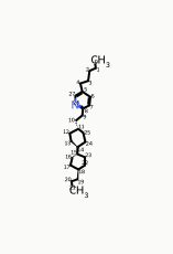 CCCCCc1ccc(CC[C@H]2CC[C@H]([C@H]3CC[C@H](CCC)CC3)CC2)nc1